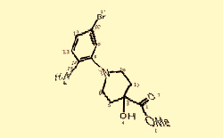 COC(=O)C1(O)CCN(c2cc(Br)ccc2N)CC1